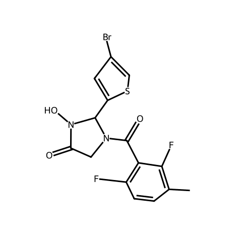 Cc1ccc(F)c(C(=O)N2CC(=O)N(O)C2c2cc(Br)cs2)c1F